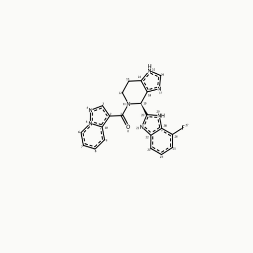 O=C(c1cnn2ccccc12)N1CCc2[nH]cnc2[C@H]1c1nc2cccc(F)c2[nH]1